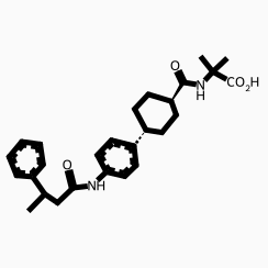 CC(CC(=O)Nc1ccc([C@H]2CC[C@H](C(=O)NC(C)(C)C(=O)O)CC2)cc1)c1ccccc1